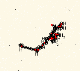 CCCC[C@@H](C)NC(=O)[C@H](CCCCN(CC(=O)O)CC(=O)O)NC(=O)CCCC(=O)[C@H](CC1=CCC=N1)NC(=O)[C@H](CCC(N)=O)NC(=O)[C@H](CO)NC(=O)[C@H](CO)NC(=O)[C@H](CCC(N)=O)NC(=O)[C@@H](CO)NC(=O)CNC(=O)COCCOCCNC(=O)CCCS(=O)(=O)NC(=O)CCCCCCCCCCCCCCCc1nnn[nH]1